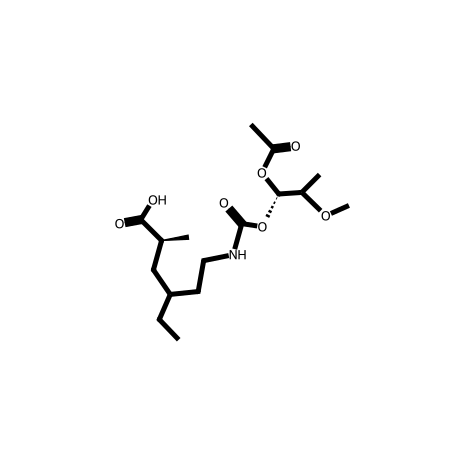 CCC(CCNC(=O)O[C@H](OC(C)=O)C(C)OC)C[C@H](C)C(=O)O